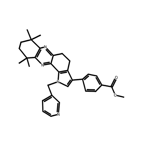 COC(=O)c1ccc(-c2cn(Cc3cccnc3)c3c2CCc2nc4c(nc2-3)C(C)(C)CCC4(C)C)cc1